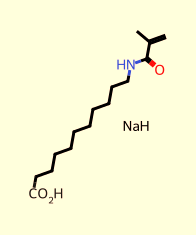 C=C(C)C(=O)NCCCCCCCCCCC(=O)O.[NaH]